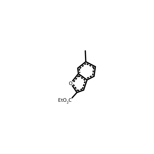 CCOC(=O)c1cc2ccc(C)cc2o1